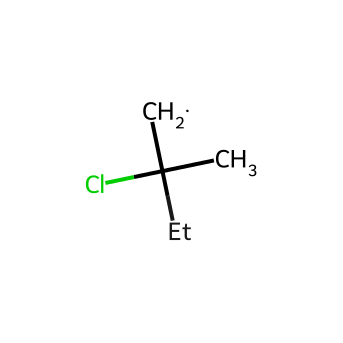 [CH2]C(C)(Cl)CC